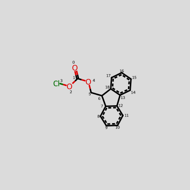 O=C(OCl)OCC1c2ccccc2-c2ccccc21